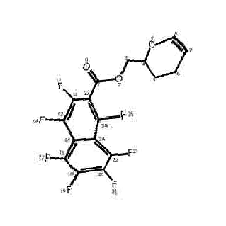 O=C(OCC1CCC=CO1)c1c(F)c(F)c2c(F)c(F)c(F)c(F)c2c1F